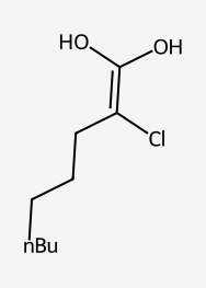 CCCCCCCC(Cl)=C(O)O